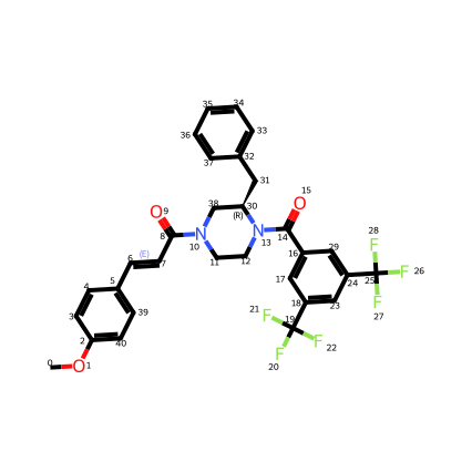 COc1ccc(/C=C/C(=O)N2CCN(C(=O)c3cc(C(F)(F)F)cc(C(F)(F)F)c3)[C@H](Cc3ccccc3)C2)cc1